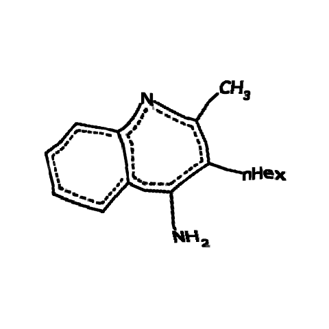 CCCCCCc1c(C)nc2ccccc2c1N